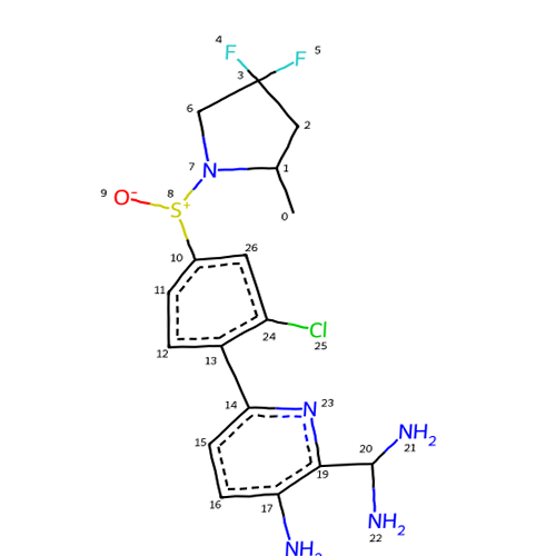 CC1CC(F)(F)CN1[S+]([O-])c1ccc(-c2ccc(N)c(C(N)N)n2)c(Cl)c1